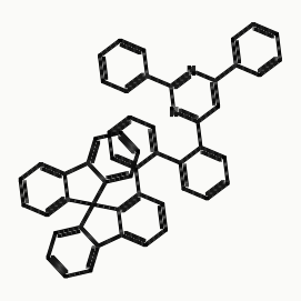 c1ccc(-c2cc(-c3ccccc3-c3ccccc3-c3cccc4c3C3(c5ccccc5-c5ccccc53)c3ccccc3-4)nc(-c3ccccc3)n2)cc1